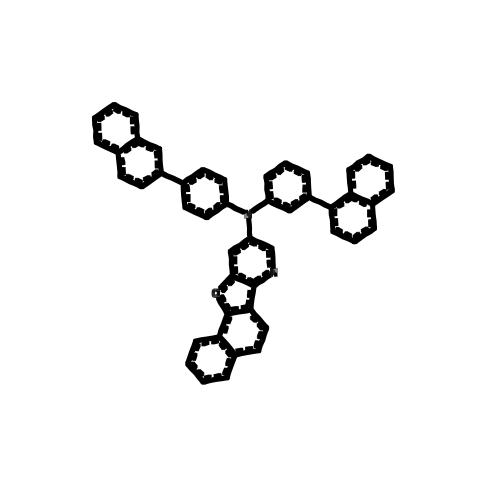 c1cc(-c2cccc3ccccc23)cc(N(c2ccc(-c3ccc4ccccc4c3)cc2)c2cnc3c(c2)oc2c4ccccc4ccc32)c1